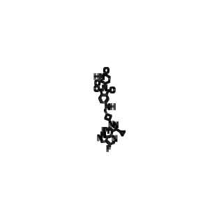 CC(C)n1ncc2c(F)cnc(-c3cn([C@H]4C[C@H](CNc5ccc6c(c5)C(=O)N(C5CCC(=O)NC5=O)C6=O)C4)nc3C3CC3)c21